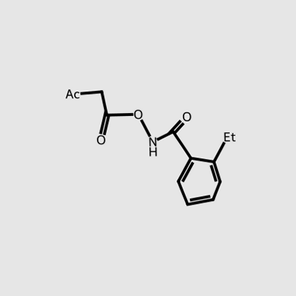 CCc1ccccc1C(=O)NOC(=O)CC(C)=O